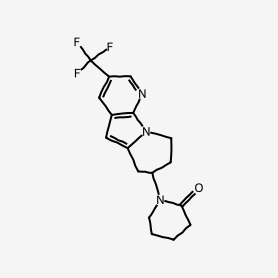 O=C1CCCCN1C1CCn2c(cc3cc(C(F)(F)F)cnc32)C1